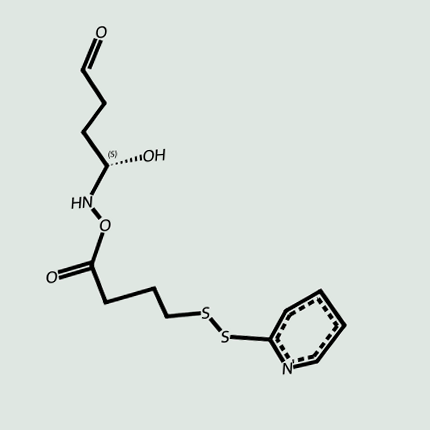 O=CCC[C@H](O)NOC(=O)CCCSSc1ccccn1